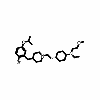 CCN(CCOC)[C@H]1CC[C@H](CCN2CCC(Cc3cc(OC(C)C)ccc3Br)CC2)CC1